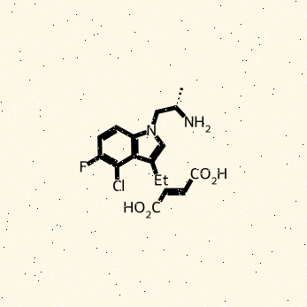 CCc1cn(C[C@H](C)N)c2ccc(F)c(Cl)c12.O=C(O)C=CC(=O)O